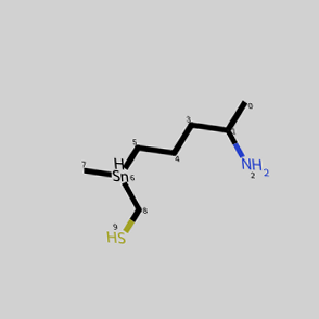 CC(N)CC[CH2][SnH]([CH3])[CH2]S